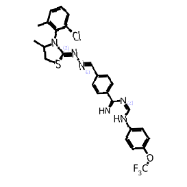 Cc1cccc(Cl)c1N1/C(=N/N=C/c2ccc(C(=N)/N=C\Nc3ccc(OC(F)(F)F)cc3)cc2)SCC1C